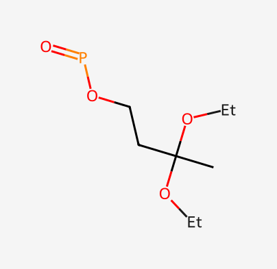 CCOC(C)(CCOP=O)OCC